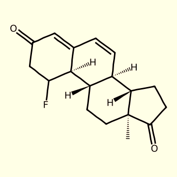 C[C@]12CC[C@H]3[C@@H](C=CC4=CC(=O)CC(F)[C@@H]43)[C@@H]1CCC2=O